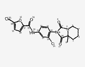 CC12CCCCN1C(=O)N(c1ccc(NC(=O)c3ccc(Cl)o3)cc1Cl)C2=O